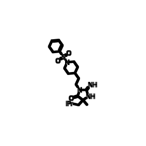 CC(C)CC1(C)NC(=N)N(CCC2CCN(S(=O)(=O)C3=CC=CCC3)CC2)C1=O